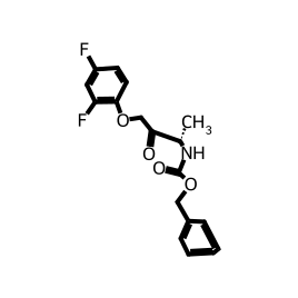 C[C@H](NC(=O)OCc1ccccc1)C(=O)COc1ccc(F)cc1F